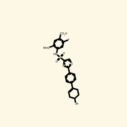 COc1cc(C(=O)O)c(F)cc1NS(=O)(=O)c1csc(-c2ccc(C3=CCC(C(C)C)CC3)cc2)n1